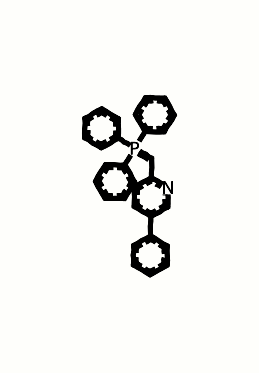 C(c1ccc(-c2ccccc2)cn1)=P(c1ccccc1)(c1ccccc1)c1ccccc1